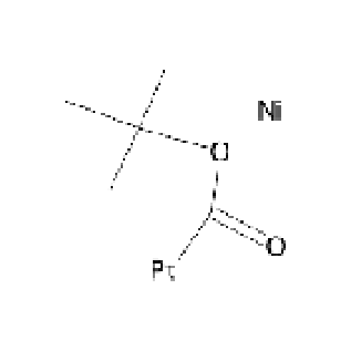 CC(C)(C)O[C](=O)[Pt].[Ni]